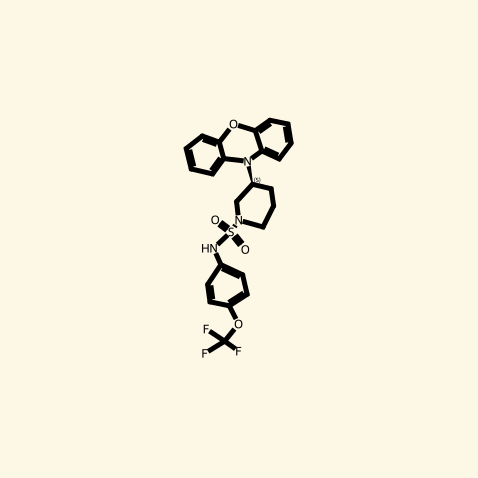 O=S(=O)(Nc1ccc(OC(F)(F)F)cc1)N1CCC[C@H](N2c3ccccc3Oc3ccccc32)C1